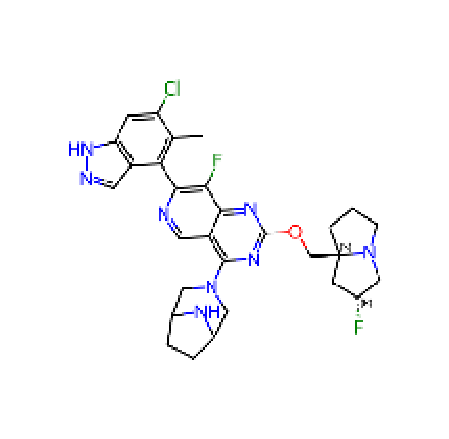 Cc1c(Cl)cc2[nH]ncc2c1-c1ncc2c(N3CC4CCC(C3)N4)nc(OC[C@@]34CCCN3C[C@H](F)C4)nc2c1F